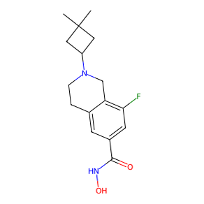 CC1(C)CC(N2CCc3cc(C(=O)NO)cc(F)c3C2)C1